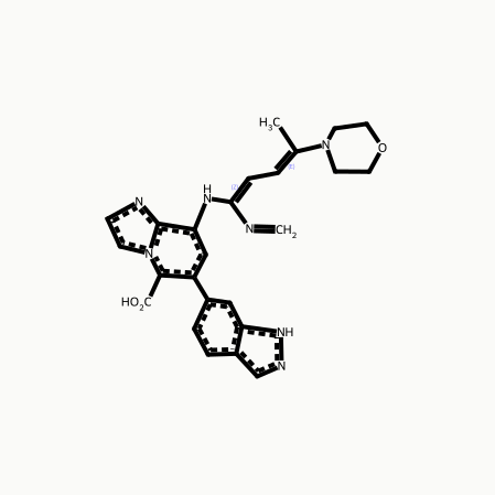 C=N/C(=C\C=C(/C)N1CCOCC1)Nc1cc(-c2ccc3cn[nH]c3c2)c(C(=O)O)n2ccnc12